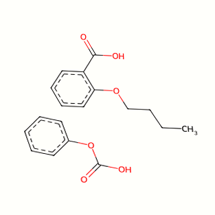 CCCCOc1ccccc1C(=O)O.O=C(O)Oc1ccccc1